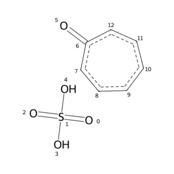 O=S(=O)(O)O.O=c1cccccc1